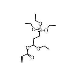 C=CC(=O)OC(CC[Si](OCC)(OCC)OCC)OCC